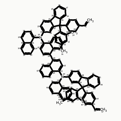 C=CC1=CC=C(C2(c3ccc(C)cc3C)c3ccccc3-c3ccc(N(c4cccc5ccccc45)c4ccc(-c5ccc(N(c6ccc7c(c6)C(c6ccc(C=C)cc6)(c6ccc(C)cc6C)c6ccccc6-7)c6cccc7ccccc67)c6ccccc56)c5ccccc45)cc32)CC1